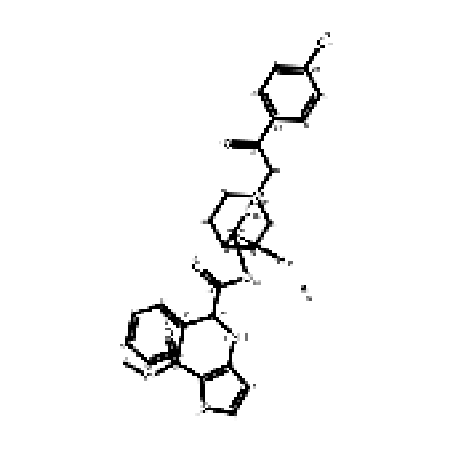 COC(=O)c1sccc1NC(C(=O)O[C@H]1C[N+]2(CC(=O)c3ccc(O)cc3)CCC1CC2)c1ccccc1.[Br-]